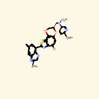 COc1ccc(N(C[C@@H]2COc3c(cc(Cl)c4nc(-c5cc(C)cc6nc(OC)cnc56)sc34)O2)C(=O)O)cn1